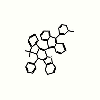 CC1C=C(c2c3ccccc3c(C3=C4c5ccccc5C(C)(C)C4C(c4ccccc4)c4c3oc3c4CCC=C3)c3ccccc23)C=CC1